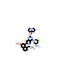 CCc1c(F)ccc2cc(O)cc(-c3ncc4c(N5C[C@H](N)CC(F)(F)C5)nc(OC[C@@]56CCCN5C[C@H](F)C6)nc4c3F)c12